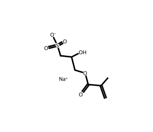 C=C(C)C(=O)OCC(O)CS(=O)(=O)[O-].[Na+]